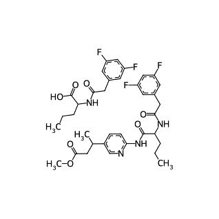 CCCC(NC(=O)Cc1cc(F)cc(F)c1)C(=O)Nc1ccc(C(C)CC(=O)OC)cn1.CCCC(NC(=O)Cc1cc(F)cc(F)c1)C(=O)O